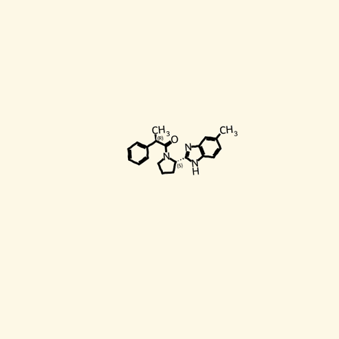 Cc1ccc2[nH]c([C@@H]3CCCN3C(=O)[C@H](C)c3ccccc3)nc2c1